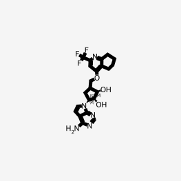 Nc1ncnc2c1ccn2[C@@H]1CC(COc2cc(C(F)(F)F)nc3c2CCCC3)[C@@H](O)[C@H]1O